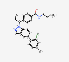 CC(C)C[C@@H](c1ccc(C(=O)NCCC(=O)O)cc1)n1ncc2cc(-c3ccc(C(F)(F)F)cc3Cl)ccc21